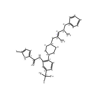 Cc1ccc(C(=O)Nc2cc(C(F)(F)F)ccc2N2CCN(C/C(N)=C/N(N)Cc3ccccc3)CC2)o1